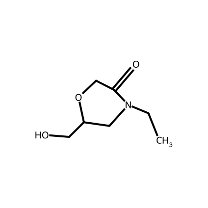 CCN1CC(CO)OCC1=O